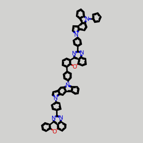 c1ccc(-n2c3ccccc3c3c4ccn(-c5ccc(-c6nc7c8c(cccc8n6)Oc6c(-c8ccc(-n9c%10ccccc%10c%10cc%11c(ccn%11-c%11ccc(-c%12nc%13c%14c(cccc%14n%12)Oc%12ccccc%12-%13)cc%11)cc%109)cc8)cccc6-7)cc5)c4ccc32)cc1